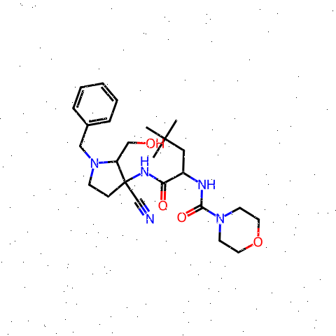 CC(C)(C)CC(NC(=O)N1CCOCC1)C(=O)NC1(C#N)CCN(Cc2ccccc2)C1CO